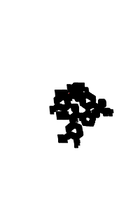 CCc1cc([C@@H](Nc2cc(C(N)=O)ccc2F)C(=O)N2CCC[C@@H]2c2cc(N(C)C(=O)O)ccc2S(=O)(=O)C(C)C)ccc1F